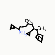 C=C(C1CC2CC(C2)C1)C(CC(C)CCC(N)C1CC1)C1CC1